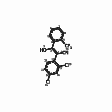 N#CC(=C(O)c1ccccc1C(F)(F)F)c1ccc(Cl)cc1Cl